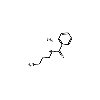 B.NCCCNC(=O)c1ccccc1